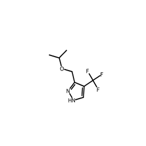 CC(C)OCc1n[nH]cc1C(F)(F)F